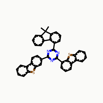 CC1(C)c2ccccc2-c2c(-c3nc(-c4ccc5c(c4)sc4ccccc45)nc(-c4cccc5c4sc4ccccc45)n3)cccc21